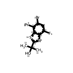 CC(C)c1c(Br)cc(F)c2nc(C(C)(C)O)sc12